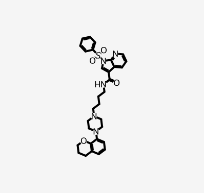 O=C(NCCCCN1CCN(c2cccc3c2OCCC3)CC1)c1cn(S(=O)(=O)c2ccccc2)c2ncccc12